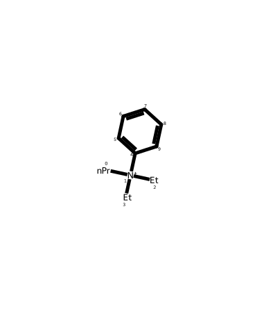 CCC[N+](CC)(CC)c1ccccc1